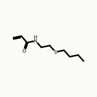 C=CC(=O)NCCSCCCC